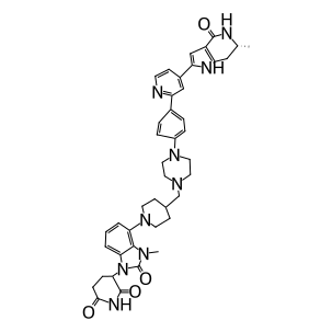 C[C@@H]1Cc2[nH]c(-c3ccnc(-c4ccc(N5CCN(CC6CCN(c7cccc8c7n(C)c(=O)n8C7CCC(=O)NC7=O)CC6)CC5)cc4)c3)cc2C(=O)N1